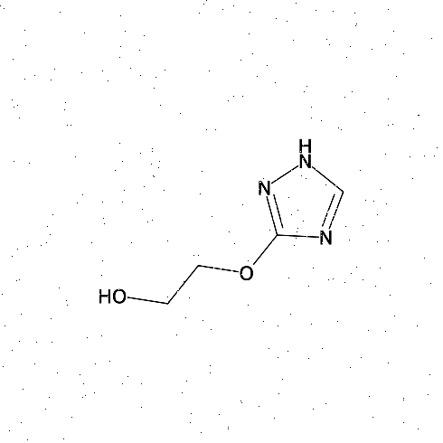 OCCOc1nc[nH]n1